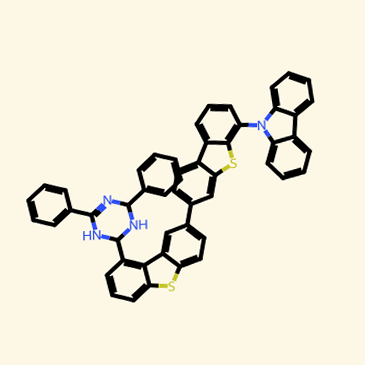 c1ccc(C2=NC(c3ccccc3)NC(c3cccc4sc5ccc(-c6ccc7c(c6)sc6c(-n8c9ccccc9c9ccccc98)cccc67)cc5c34)N2)cc1